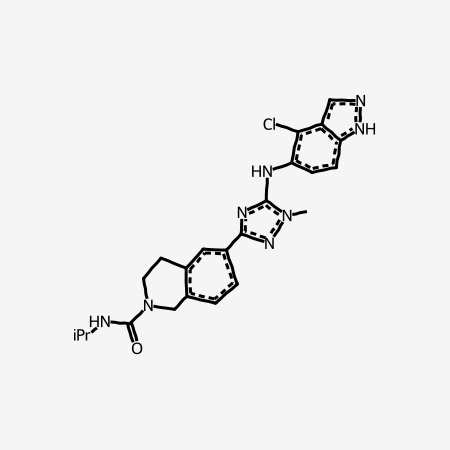 CC(C)NC(=O)N1CCc2cc(-c3nc(Nc4ccc5[nH]ncc5c4Cl)n(C)n3)ccc2C1